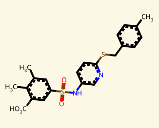 Cc1ccc(CSc2ccc(NS(=O)(=O)c3cc(C)c(C)c(C(=O)O)c3)cn2)cc1